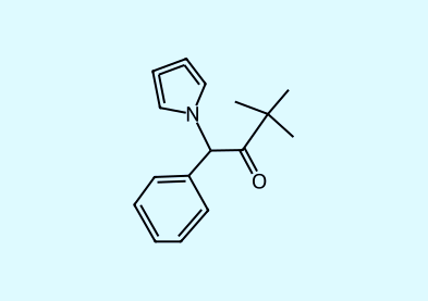 CC(C)(C)C(=O)C(c1ccccc1)N1C=C=C=C1